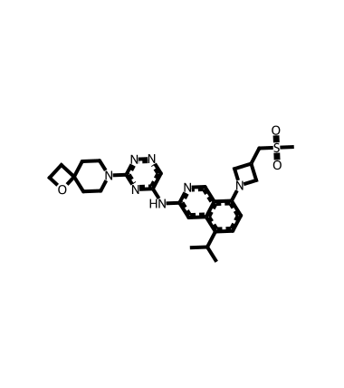 CC(C)c1ccc(N2CC(CS(C)(=O)=O)C2)c2cnc(Nc3cnnc(N4CCC5(CCO5)CC4)n3)cc12